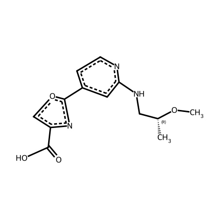 CO[C@H](C)CNc1cc(-c2nc(C(=O)O)co2)ccn1